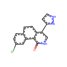 O=c1[nH]cc(-c2cc[nH]n2)c2ccc3ccc(Cl)cc3c12